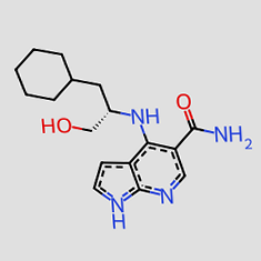 NC(=O)c1cnc2[nH]ccc2c1N[C@H](CO)CC1CCCCC1